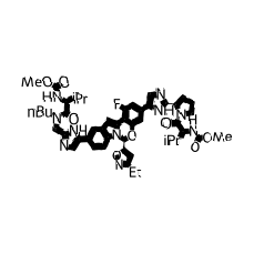 CCCCN(Cc1ncc(-c2ccc3c(c2)cc2n3[C@H](c3cc(CC)no3)Oc3cc(-c4cnc([C@@H]5CCCN5C(=O)C(NC(=O)OC)C(C)C)[nH]4)cc(F)c3-2)[nH]1)C(=O)C(NC(=O)OC)C(C)C